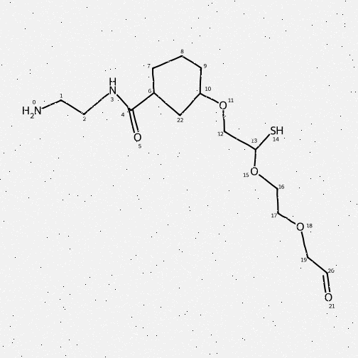 NCCNC(=O)C1CCCC(OCC(S)OCCOCC=O)C1